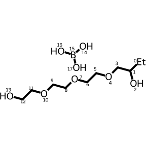 CCC(O)COCCOCCOCCO.OB(O)O